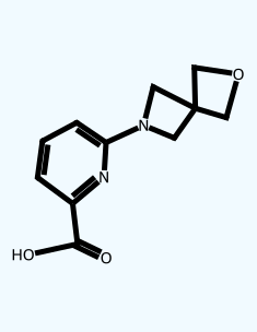 O=C(O)c1cccc(N2CC3(COC3)C2)n1